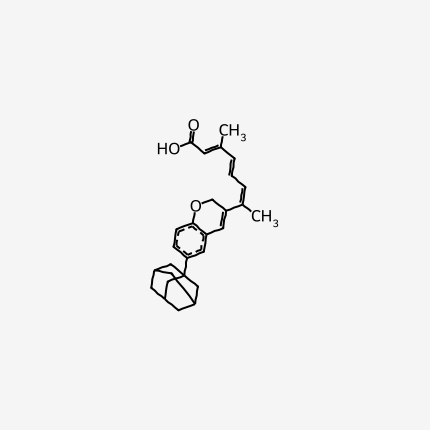 CC(C=C/C=C(/C)C1=Cc2cc(C34CC5CC(CC(C5)C3)C4)ccc2OC1)=CC(=O)O